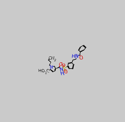 C=CCCN1CC(C(=O)NS(=O)(=O)c2cccc(CCNC(=O)c3ccccc3)c2)=CC=C1C(=O)O